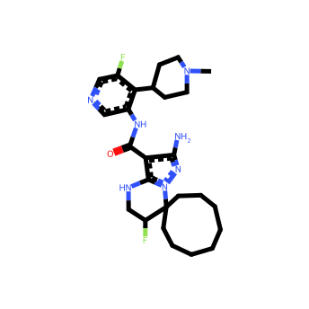 CN1CCC(c2c(F)cncc2NC(=O)c2c(N)nn3c2NCC(F)C32CCCCCCCC2)CC1